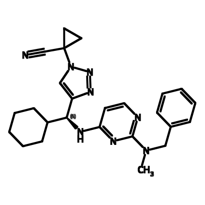 CN(Cc1ccccc1)c1nccc(N[C@H](c2cn(C3(C#N)CC3)nn2)C2CCCCC2)n1